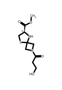 COC(=O)[C@@H]1CSC2(CN(C(=O)CCO)C2)N1